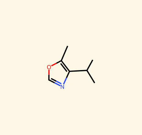 Cc1ocnc1C(C)C